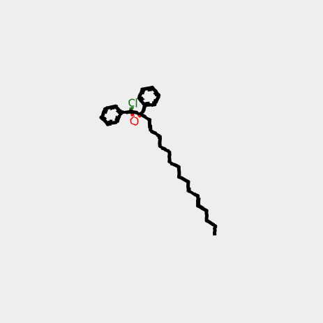 CCCCCCCCCCCCCCCCC1(c2ccccc2)OC1(Cl)c1ccccc1